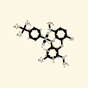 COc1ccc(Cl)c(Oc2c(NS(=O)(=O)c3ccc(C(C)(C)C)cc3)nc(C)nc2OC)c1